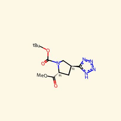 COC(=O)[C@H]1C[C@H](c2nnn[nH]2)CN1C(=O)OC(C)(C)C